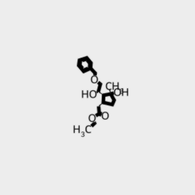 CCOC(=O)C[C@H]1CC[C@](C)(O)[C@H]1[C@@H](O)COCc1ccccc1